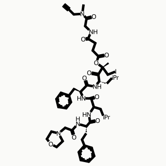 C#CCN(C)C(=O)CNC(=O)CCC(=O)O[C@](C)(CI)C(=O)[C@H](CC(C)C)NC(=O)[C@H](Cc1ccccc1)NC(=O)C(CC(C)C)NC(=O)[C@H](CCc1ccccc1)NC(=O)CN1CCOCC1